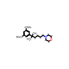 COc1cc(OC)cc(C(C)(C)CCCCN2CCOCC2)c1